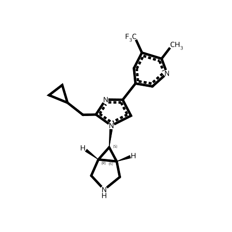 Cc1ncc(-c2cn([C@H]3[C@@H]4CNC[C@@H]43)c(CC3CC3)n2)cc1C(F)(F)F